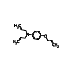 C=CCOc1ccc(N(CC=C)CC=C)cc1